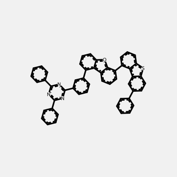 c1ccc(-c2ccc3sc4cccc(-c5cccc6c5oc5cccc(-c7cccc(-c8nc(-c9ccccc9)nc(-c9ccccc9)n8)c7)c56)c4c3c2)cc1